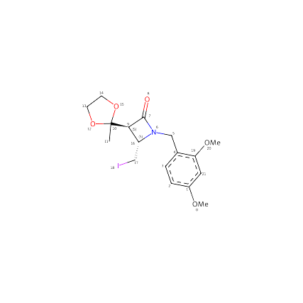 COc1ccc(CN2C(=O)[C@H](C3(C)OCCO3)[C@H]2CI)c(OC)c1